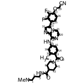 CNCCCNC(=O)C1CCN(C(=O)c2ccc(Nc3nccn4c(-c5ccc(OCC#N)c(F)c5F)cnc34)cc2C)CC1